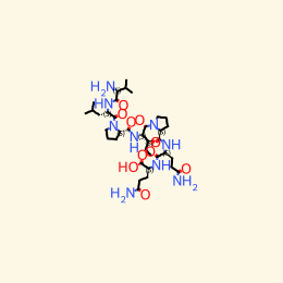 CC[C@H](C)[C@H](NC(=O)[C@@H]1CCCN1C(=O)[C@H](CC(C)C)NC(=O)[C@@H](N)C(C)C)C(=O)N1CCC[C@H]1C(=O)N[C@@H](CCC(N)=O)C(=O)N[C@@H](CCC(N)=O)C(=O)O